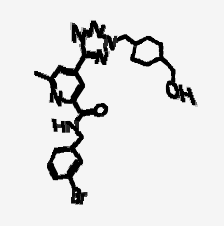 Cc1cc(-c2nnn(CC3CCC(CO)CC3)n2)cc(C(=O)NCc2cccc(Br)c2)n1